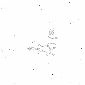 O.O.O.O.O.O=C([O-])C(=O)[O-].O=C([O-])C(=O)[O-].O=C([O-])C(=O)[O-].[NH4+].[Nb+5]